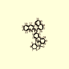 CC1(C)C2=C(C=CCC2)n2c3ccc(N(c4ccc5ccccc5n4)c4cccc5ccccc45)cc3c3cccc1c32